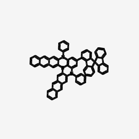 c1ccc(N2c3cc4cc5ccccc5cc4cc3B3c4cc5cc6ccccc6cc5cc4N(c4ccccc4)c4cc(-c5cccc6c5-c5ccccc5C65c6ccccc6-c6ccccc65)cc2c43)cc1